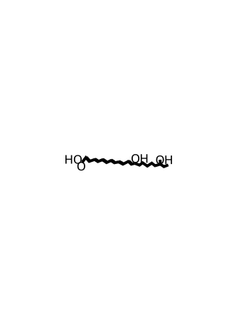 CCC(O)CCCCCC(O)/C=C/C=C/C=C/C=C/C=C/C=C/C(=O)O